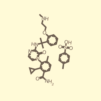 CNCCOc1ccccc1C(C)(C)Nc1nccn(-c2c(C)ccc(C(N)=O)c2C2CC2)c1=O.Cc1ccc(S(=O)(=O)O)cc1